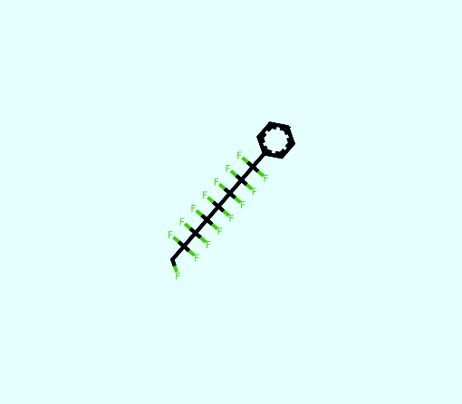 FCC(F)(F)C(F)(F)C(F)(F)C(F)(F)C(F)(F)C(F)(F)C(F)(F)c1cc[c]cc1